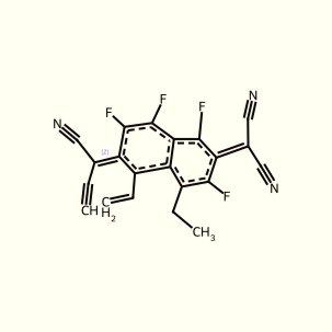 C#C/C(C#N)=c1/c(F)c(F)c2c(F)c(=C(C#N)C#N)c(F)c(CC)c2c1C=C